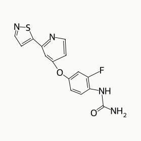 NC(=O)Nc1ccc(Oc2ccnc(-c3ccns3)c2)cc1F